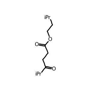 CC(C)CCOC(=O)CCC(=O)C(C)C